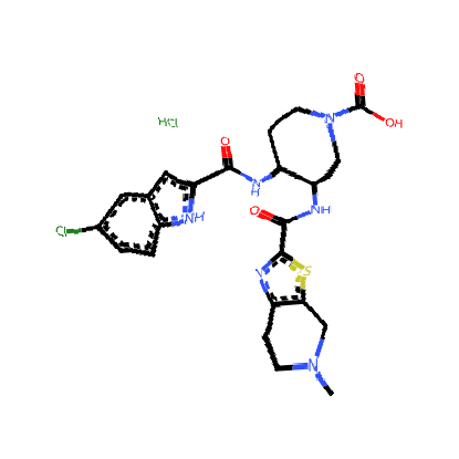 CN1CCc2nc(C(=O)NC3CN(C(=O)O)CCC3NC(=O)c3cc4cc(Cl)ccc4[nH]3)sc2C1.Cl